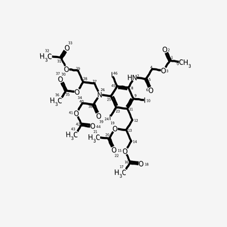 CC(=O)OCC(=O)Nc1c(I)c(CC(COC(C)=O)OC(C)=O)c(I)c(N(CC(COC(C)=O)OC(C)=O)C(=O)COC(C)=O)c1I